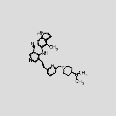 Cc1c(Nc2c(C#N)cncc2C=Cc2cccc(CN3CCC(N(C)C)CC3)n2)ccc2[nH]ccc12